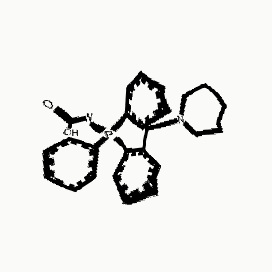 O=C(O)N=P(c1ccccc1)(c1ccccc1)c1ccccc1CN1CCCCC1